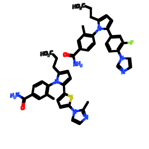 Cc1cc(C(N)=O)ccc1-n1c(CCC(=O)O)ccc1-c1ccc(-n2ccnc2)c(F)c1.Cc1cc(C(N)=O)ccc1-n1c(CCC(=O)O)ccc1-c1ccc(-n2ccnc2C)s1